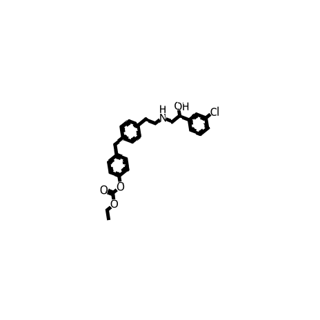 CCOC(=O)Oc1ccc(Cc2ccc(CCNCC(O)c3cccc(Cl)c3)cc2)cc1